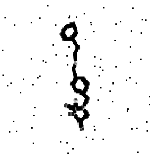 O=C1CN(Cc2ccc(CNCCc3ccccc3)cc2)S(=O)(=O)N1